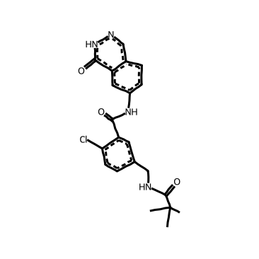 CC(C)(C)C(=O)NCc1ccc(Cl)c(C(=O)Nc2ccc3cn[nH]c(=O)c3c2)c1